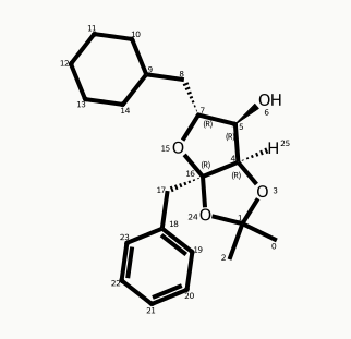 CC1(C)O[C@@H]2[C@H](O)[C@@H](CC3CCCCC3)O[C@]2(Cc2ccccc2)O1